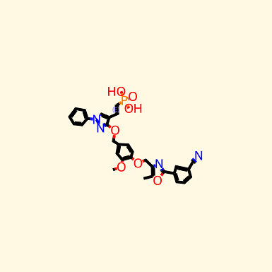 COc1cc(COc2nn(-c3ccccc3)cc2/C=C/P(=O)(O)O)ccc1OCc1nc(-c2cccc(C#N)c2)oc1C